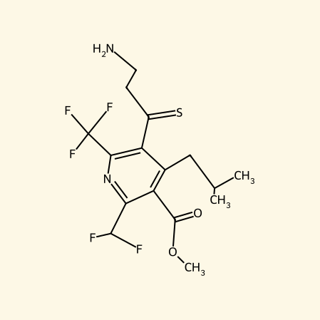 COC(=O)c1c(C(F)F)nc(C(F)(F)F)c(C(=S)CCN)c1CC(C)C